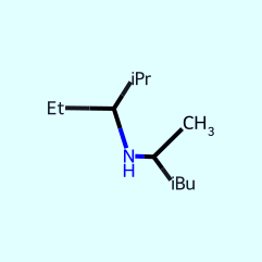 CCC(C)C(C)NC(CC)C(C)C